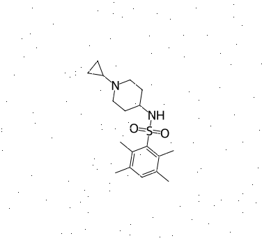 Cc1cc(C)c(C)c(S(=O)(=O)NC2CCN(C3CC3)CC2)c1C